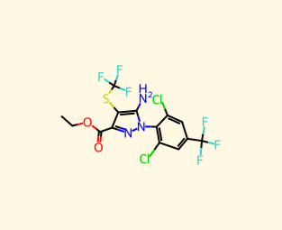 CCOC(=O)c1nn(-c2c(Cl)cc(C(F)(F)F)cc2Cl)c(N)c1SC(F)(F)F